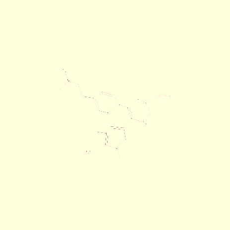 CCCCCc1cnc(-c2cc(F)c(OC)c(F)c2)c(-c2ccc(CCC(=O)N=O)cc2)c1